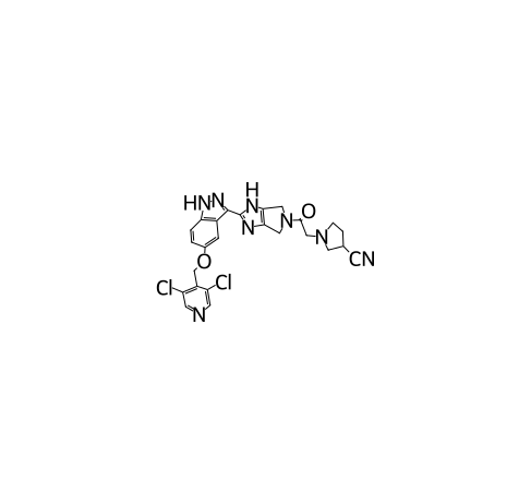 N#CC1CCN(CC(=O)N2Cc3nc(-c4n[nH]c5ccc(OCc6c(Cl)cncc6Cl)cc45)[nH]c3C2)C1